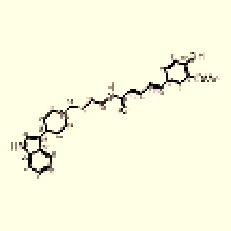 COc1cc(/C=C/C=C/C(=O)NCCCCN2CCC(c3c[nH]c4ccccc34)CC2)ccc1O